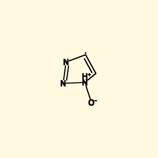 [O-][NH+]1C=[C]N=N1